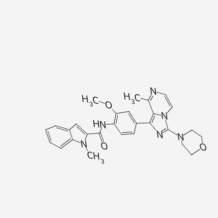 COc1cc(-c2nc(N3CCOCC3)n3ccnc(C)c23)ccc1NC(=O)c1cc2ccccc2n1C